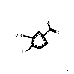 COc1cc(C(=O)Br)ccc1O